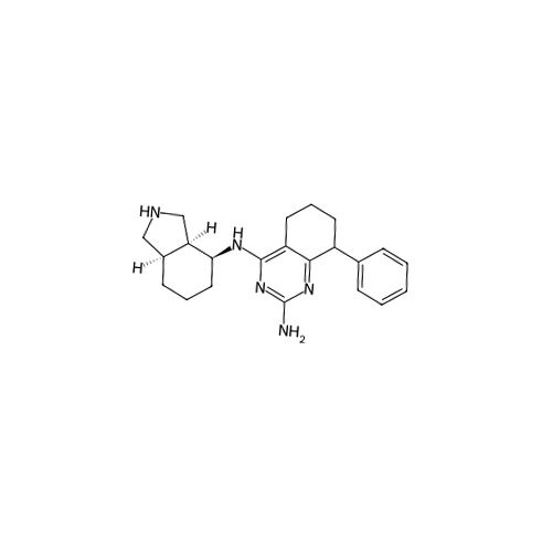 Nc1nc(N[C@H]2CCC[C@H]3CNC[C@H]32)c2c(n1)C(c1ccccc1)CCC2